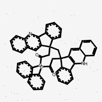 O=C(CC1(CC2(CC(=O)Oc3ccccc3)c3ccccc3-c3nc4ccccc4cc32)C2=C(NC3C=CC=CC3=C2)c2ccccc21)Oc1ccccc1